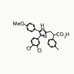 COc1ccc(-c2[nH]c(CC(C(=O)O)c3cccc(C)c3)nc2-c2ccc(Cl)c(Cl)c2)cc1